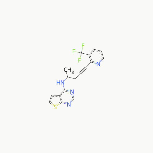 CC(CC#Cc1ncccc1C(F)(F)F)Nc1ncnc2sccc12